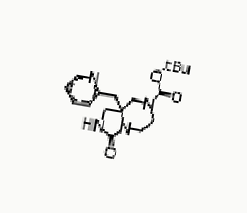 CC(C)(C)OC(=O)N1CCN2C(=O)NCC2(Cc2ccccn2)C1